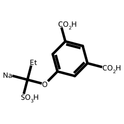 CC[C]([Na])(Oc1cc(C(=O)O)cc(C(=O)O)c1)S(=O)(=O)O